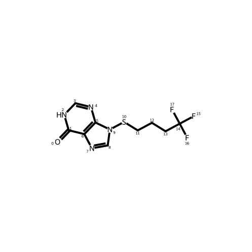 O=c1[nH]cnc2c1ncn2SCCCC(F)(F)F